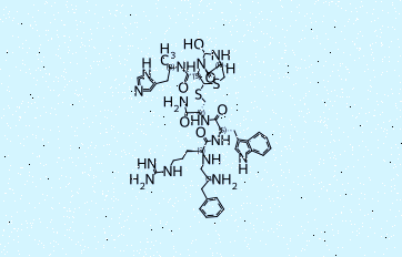 C[C@H](Cc1cnc[nH]1)NC(=O)[C@H]1C(SC[C@H](NC(=O)[C@H](Cc2c[nH]c3ccccc23)NC(=O)[C@H](CCCNC(=N)N)NC[C@H](N)Cc2ccccc2)C(N)=O)SC[C@@H]2NC(O)N1C2=O